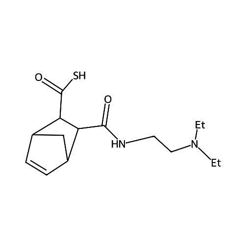 CCN(CC)CCNC(=O)C1C2C=CC(C2)C1C(=O)S